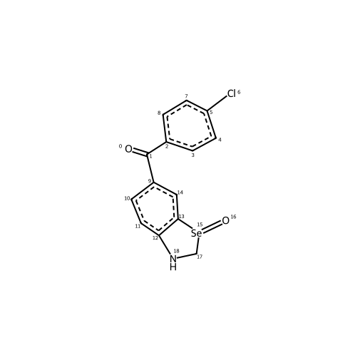 O=C(c1ccc(Cl)cc1)c1ccc2c(c1)[Se](=O)CN2